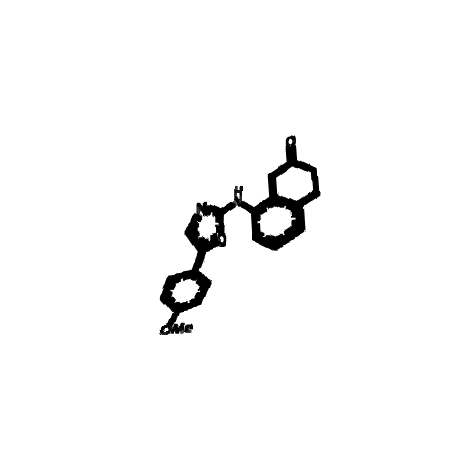 COc1ccc(-c2cnc(Nc3cccc4c3CC(=O)CC4)o2)cc1